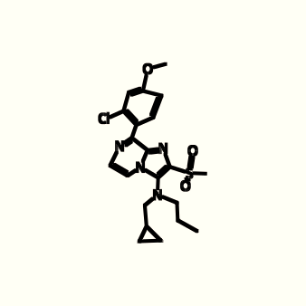 CCCN(CC1CC1)c1c(S(C)(=O)=O)nc2c(-c3ccc(OC)cc3Cl)nccn12